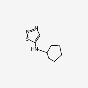 c1nnsc1NC1CCCCC1